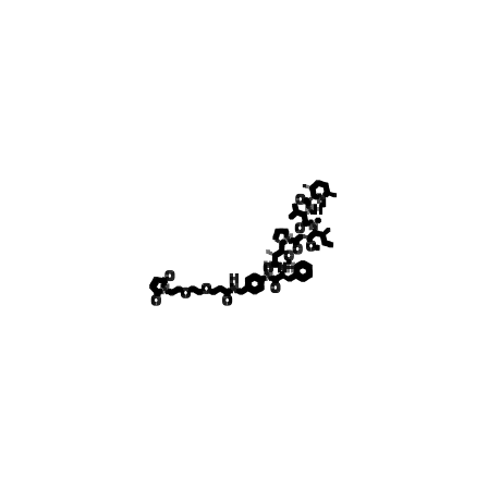 CC[C@H](C)[C@@H]([C@@H](CC(=O)N1CCC[C@H]1[C@H](OC)[C@@H](C)C(=O)N[C@@H](Cc1ccccc1)C(=O)Nc1ccc(CNC(=O)CCOCCOCCN2C(=O)C=CC2=O)cc1)OC)N(C)C(=O)[C@@H](NC(=O)[C@@H]1[C@H](C)CC[C@@H](C)N1C)C(C)C